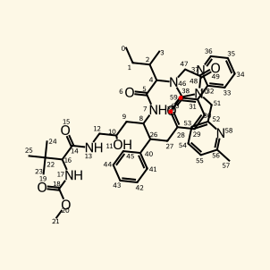 CCC(C)C(C(=O)NC(CC(O)CNC(=O)C(NC(=O)OC)C(C)(C)C)C(Cc1ccc(-c2ccccn2)cc1)c1ccccc1)N1CC(=O)N(Cc2cccc(C)n2)C1=O